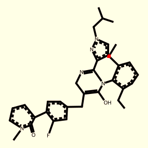 CCc1cccc(CC)c1N1C(c2ccn(CC(C)C)n2)=NCC(Cc2ccc(-c3cccn(C)c3=O)c(F)c2)=C1O